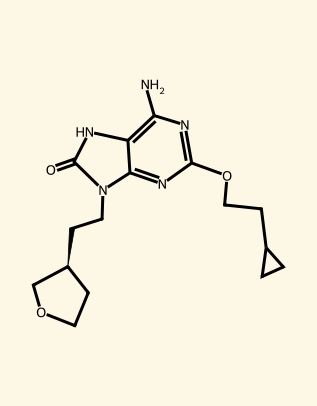 Nc1nc(OCCC2CC2)nc2c1[nH]c(=O)n2CC[C@H]1CCOC1